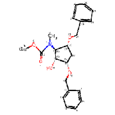 CN(C(=O)OC(C)(C)C)[C@@H]1[C@@H](O)[C@@H](OCc2ccccc2)C[C@H]1OCc1ccccc1